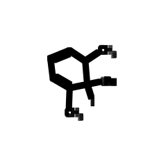 CC1=CC=CC(C)C1(I)C(C)(C)C